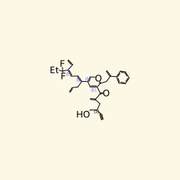 C#C[C@@H](CO)CC(=C)C(=O)/C(=C/C(=C\C)C(=C/C=C(\C=C)C(F)(F)CC)/CC=C)C(=O)CC(=C)c1ccccc1